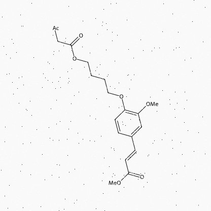 COC(=O)/C=C/c1ccc(OCCCCOC(=O)CC(C)=O)c(OC)c1